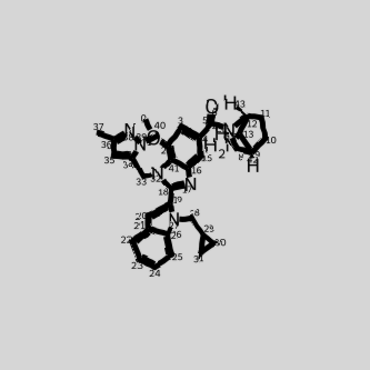 COc1cc(C(=O)N2C[C@H]3CC[C@@H]2[C@@H]3N)cc2nc(-c3cc4ccccc4n3CC3CC3)n(Cc3cc(C)nn3C)c12